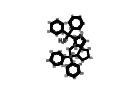 BC(c1ccccc1)(c1ccccc1)c1nccn1C[Si](c1ccccc1)(c1ccccc1)C1CCCC1